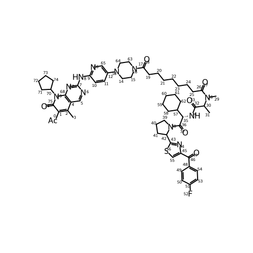 CC(=O)c1c(C)c2cnc(Nc3ccc(N4CCN(C(=O)CCCCCCCC(=O)N(C)C(C)C(=O)N[C@H](C(=O)N5CCCC5c5nc(C(=O)c6ccc(F)cc6)cs5)C5CCCCC5)CC4)cn3)nc2n(C2CCCC2)c1=O